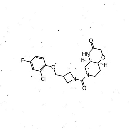 O=C1CO[C@H]2CCN(C(=O)N3CC(COc4ccc(F)cc4Cl)C3)C[C@H]2N1